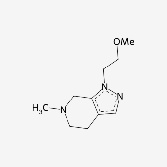 COCCn1ncc2c1CN(C)CC2